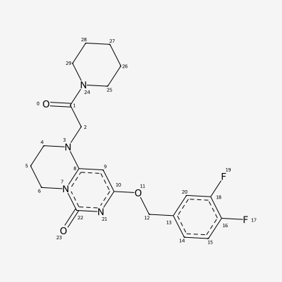 O=C(CN1CCCn2c1cc(OCc1ccc(F)c(F)c1)nc2=O)N1CCCCC1